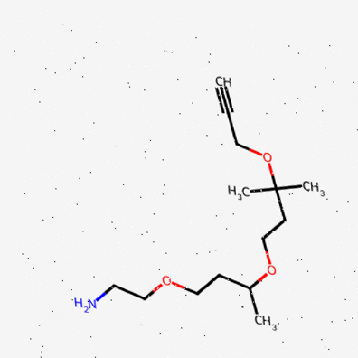 C#CCOC(C)(C)CCOC(C)CCOCCN